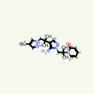 CC(C)(C)c1cnn(CC(C)(C)c2cnn(CC(C)(C)n3ccccc3=O)c2N)c1